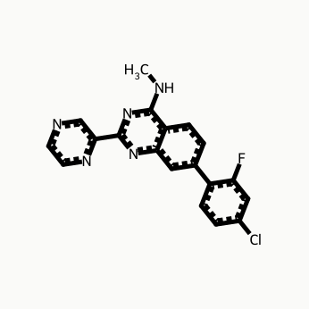 CNc1nc(-c2cnccn2)nc2cc(-c3ccc(Cl)cc3F)ccc12